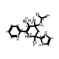 NC1(OC(F)F)CC(Cl)(c2nccs2)NC(c2ccccn2)=C1Br